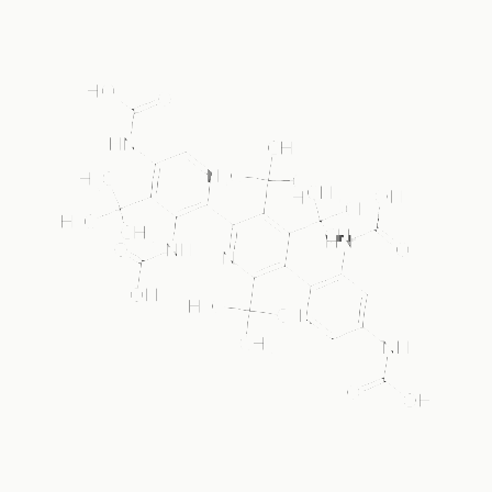 CC(C)(C)c1nc(-c2ccc(NC(=O)O)c(C(C)(C)C)c2NC(=O)O)c(C(C)(C)C)c(C(C)(C)C)c1-c1ccc(NC(=O)O)cc1NC(=O)O